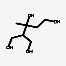 CC(O)(CCO)C(CO)CO